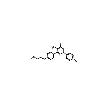 COCCOc1ccc(-c2nc(-c3ccc(OC)cc3)cc(C)c2N)cc1